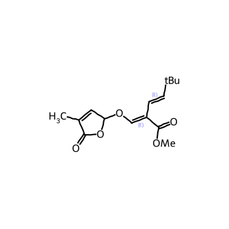 COC(=O)C(/C=C/C(C)(C)C)=C/OC1C=C(C)C(=O)O1